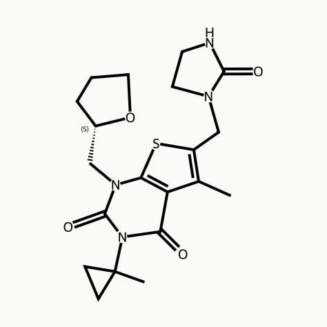 Cc1c(CN2CCNC2=O)sc2c1c(=O)n(C1(C)CC1)c(=O)n2C[C@@H]1CCCO1